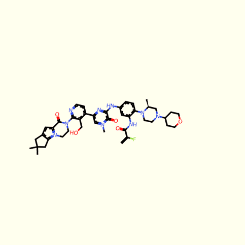 C=C(F)C(=O)Nc1cc(Nc2nc(-c3ccnc(N4CCn5c(cc6c5CC(C)(C)C6)C4=O)c3CO)cn(C)c2=O)ccc1N1CCN(C2CCOCC2)C[C@@H]1C